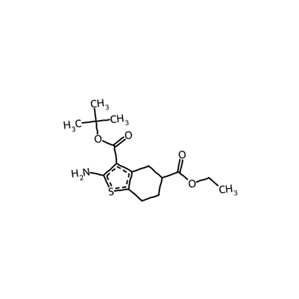 CCOC(=O)C1CCc2sc(N)c(C(=O)OC(C)(C)C)c2C1